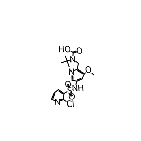 COc1cc(NS(=O)(=O)c2cccnc2Cl)cnc1CN(C(=O)O)C(C)(C)C